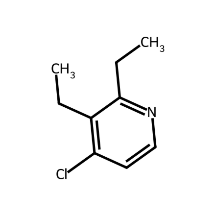 CCc1nccc(Cl)c1CC